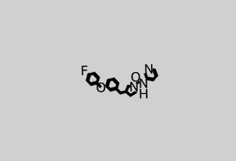 O=C(Nc1cccnc1)N1CCC(Cc2cccc(Oc3ccc(F)cc3)c2)C1